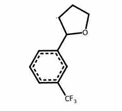 FC(F)(F)c1cccc(C2[CH]CCO2)c1